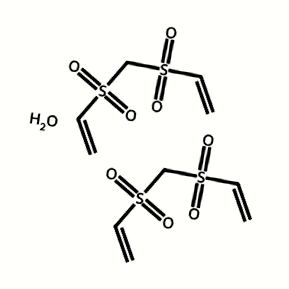 C=CS(=O)(=O)CS(=O)(=O)C=C.C=CS(=O)(=O)CS(=O)(=O)C=C.O